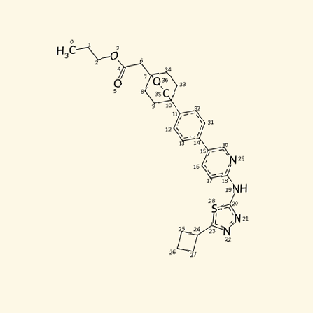 CCCOC(=O)CC12CCC(c3ccc(-c4ccc(Nc5nnc(C6CCC6)s5)nc4)cc3)(CC1)CO2